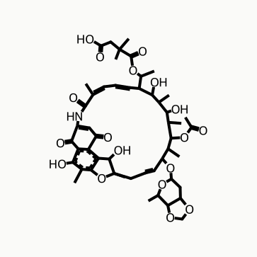 CC(=O)OC1C(C)C(OC2CC3OCOC3C(C)O2)/C=C/CC2(C)Oc3c(C)c(O)c4c(c3C2O)C(=O)C=C(NC(=O)/C(C)=C\C=C\C(C(C)OC(=O)C(C)(C)CC(=O)O)C(O)C(C)C(O)C1C)C4=O